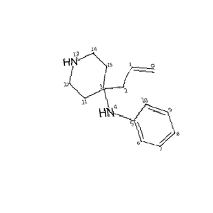 C=CCC1(Nc2ccccc2)CCNCC1